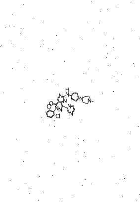 CN1CCN(c2ccc(Nc3ncc4c(=O)n(-c5c(Cl)cccc5Cl)nc(-c5cnccn5)c4n3)cc2)CC1